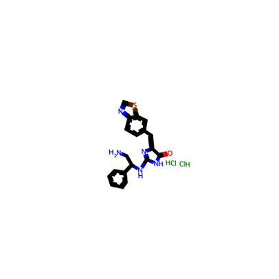 Cl.Cl.NCC(NC1=N/C(=C\c2ccc3ncsc3c2)C(=O)N1)c1ccccc1